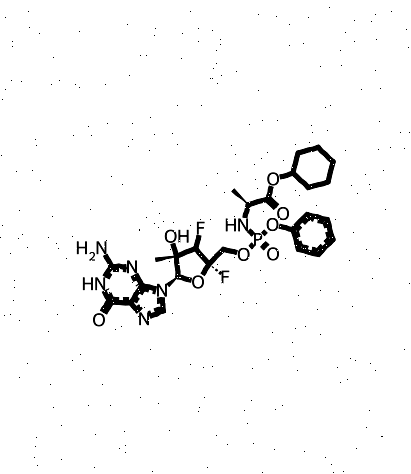 C[C@H](NP(=O)(OC[C@@]1(F)O[C@@H](n2cnc3c(=O)[nH]c(N)nc32)[C@](C)(O)C1F)Oc1ccccc1)C(=O)OC1CCCCC1